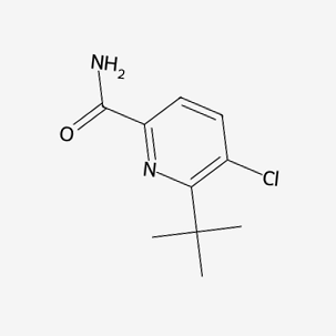 CC(C)(C)c1nc(C(N)=O)ccc1Cl